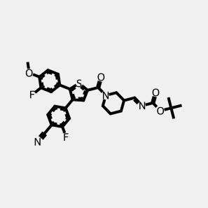 COc1ccc(-c2sc(C(=O)N3CCCC(/C=N/C(=O)OC(C)(C)C)C3)cc2-c2ccc(C#N)c(F)c2)cc1F